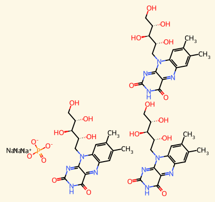 Cc1cc2nc3c(=O)[nH]c(=O)nc-3n(C[C@@H](O)[C@@H](O)[C@@H](O)CO)c2cc1C.Cc1cc2nc3c(=O)[nH]c(=O)nc-3n(C[C@@H](O)[C@@H](O)[C@@H](O)CO)c2cc1C.Cc1cc2nc3c(=O)[nH]c(=O)nc-3n(C[C@@H](O)[C@@H](O)[C@@H](O)CO)c2cc1C.O=P([O-])([O-])[O-].[Na+].[Na+].[Na+]